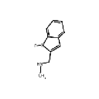 CNCc1cc2ccccc2n1F